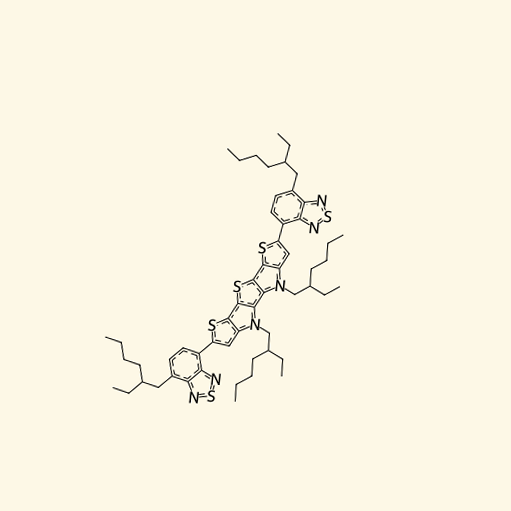 CCCCC(CC)Cc1ccc(-c2cc3c(s2)c2sc4c5sc(-c6ccc(CC(CC)CCCC)c7nsnc67)cc5n(CC(CC)CCCC)c4c2n3CC(CC)CCCC)c2nsnc12